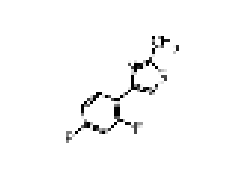 Cc1nc(-c2ccc(F)cc2F)cs1